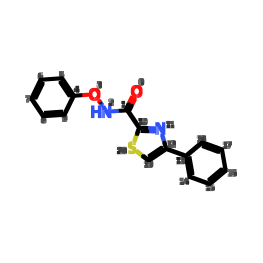 O=C(NOc1ccccc1)c1nc(-c2ccccc2)cs1